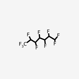 FC(F)C(F)C(F)C(F)C(F)C(F)C(F)(F)F